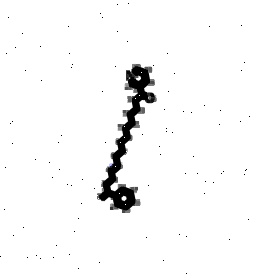 CC(CC/C=C/CCCCCCCCCC(=O)c1cccnc1)c1ccccc1